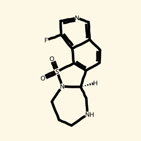 O=S1(=O)c2c(ccc3cncc(F)c23)[C@H]2CNCCCN21